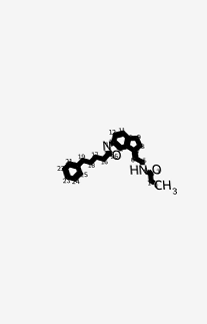 CCC(=O)NCC=C1CCc2ccc3nc(CCCCc4ccccc4)oc3c21